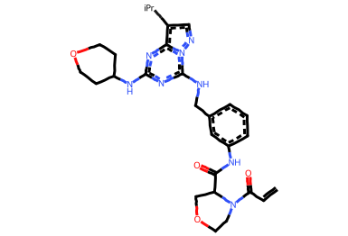 C=CC(=O)N1CCOCC1C(=O)Nc1cccc(CNc2nc(NC3CCOCC3)nc3c(C(C)C)cnn23)c1